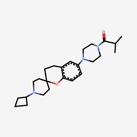 CC(C)C(=O)N1CCN(c2ccc3c(c2)CCC2(CCN(C4CCC4)CC2)O3)CC1